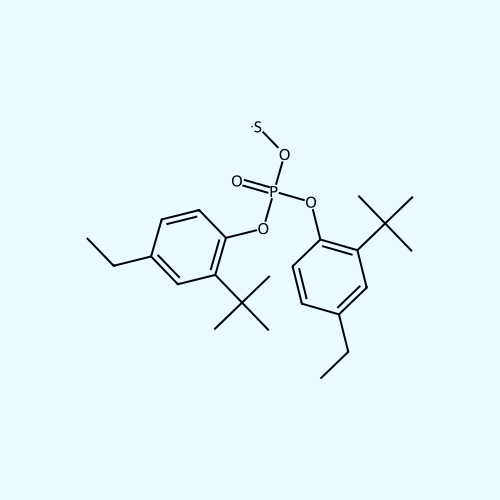 CCc1ccc(OP(=O)(O[S])Oc2ccc(CC)cc2C(C)(C)C)c(C(C)(C)C)c1